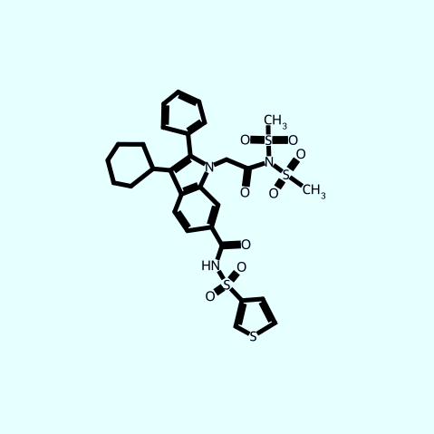 CS(=O)(=O)N(C(=O)Cn1c(-c2ccccc2)c(C2CCCCC2)c2ccc(C(=O)NS(=O)(=O)c3ccsc3)cc21)S(C)(=O)=O